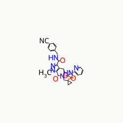 Cn1nc(C(=O)NCc2ccc(C#N)cc2)c2c1C(=O)N(CC1(S(=O)(=O)Nc3ccccn3)CC1)CC2